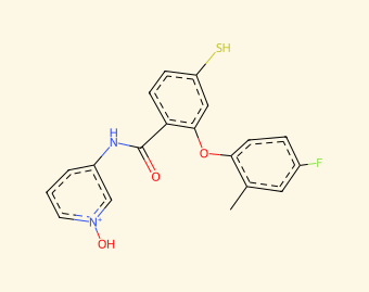 Cc1cc(F)ccc1Oc1cc(S)ccc1C(=O)Nc1ccc[n+](O)c1